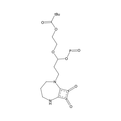 CC(C)(C)C(=O)OCCOC(CCN1CCCNc2c1c(=O)c2=O)OP=O